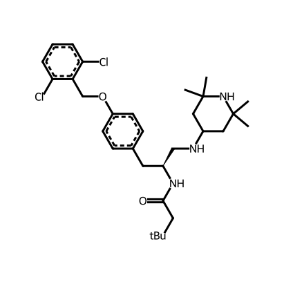 CC(C)(C)CC(=O)N[C@H](CNC1CC(C)(C)NC(C)(C)C1)Cc1ccc(OCc2c(Cl)cccc2Cl)cc1